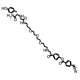 [N-]=[N+]=Nc1ccc(C(=O)Oc2ccc(C(=O)CNCCCOCCOCCOCCCNC(=O)CN[C@@H](Cc3ccc(O)cc3)C(N)=O)cc2)cc1